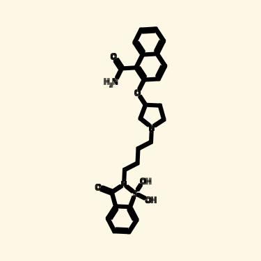 NC(=O)c1c(OC2CCN(CCCCN3C(=O)c4ccccc4S3(O)O)C2)ccc2ccccc12